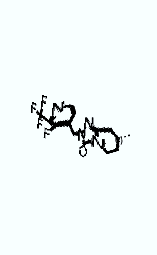 C[C@@H]1CCn2c(nn(Cc3ccnc(C(F)(F)F)c3F)c2=O)C1